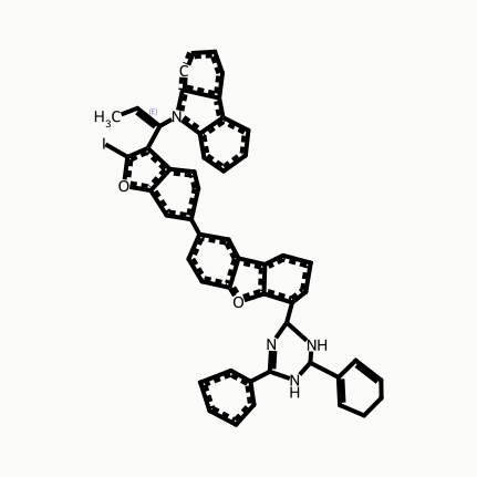 C/C=C(\c1c(I)oc2cc(-c3ccc4oc5c(C6N=C(c7ccccc7)NC(C7=CCCC=C7)N6)cccc5c4c3)ccc12)n1c2ccccc2c2ccccc21